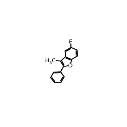 Cc1c(-c2ccccc2)oc2ccc(F)cc12